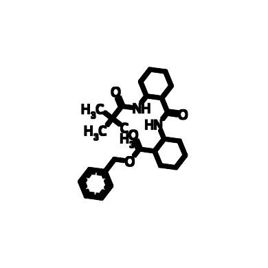 CC(C)(C)C(=O)NC1CCCCC1C(=O)NC1CCCCC1C(=O)OCc1ccccc1